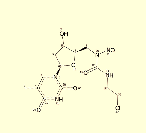 Cc1cn([C@H]2CC(O)[C@@H](CN(N=O)C(=O)NCCCl)O2)c(=O)[nH]c1=O